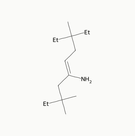 CCC(C)(C)C/C(N)=C/CC(C)(CC)CC